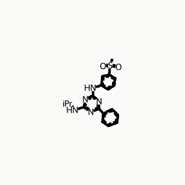 CC(C)Nc1nc(Nc2cccc(S(C)(=O)=O)c2)nc(-c2ccccc2)n1